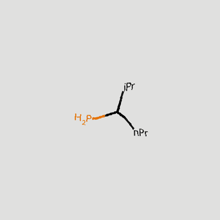 CCCC(P)C(C)C